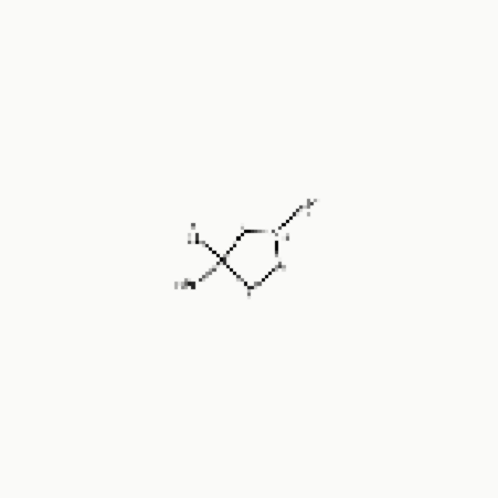 CCCCC1(CC)CCN(C(C)C)C1